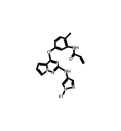 C=CC(=O)Nc1cc(Oc2nc(Nc3cnn(CC)c3)nn3cccc23)ccc1C